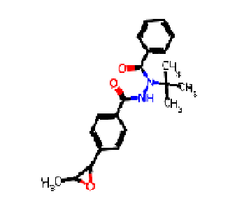 CC1OC1c1ccc(C(=O)NN(C(=O)c2ccccc2)C(C)(C)C)cc1